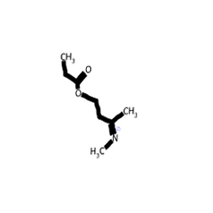 CCC(=O)OCC/C(C)=N\C